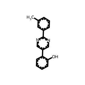 Cc1cccc(-c2ncc(-c3ccccc3O)cn2)c1